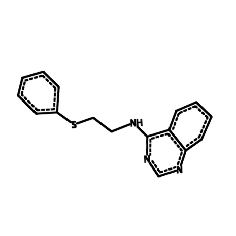 c1ccc(SCCNc2ncnc3ccccc23)cc1